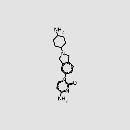 Nc1ccn(-c2ccc3c(c2)CN(C2CCC(N)CC2)C3)c(=O)n1